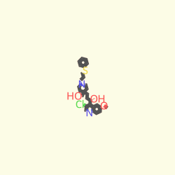 COc1ccc2ncc(Cl)c([C@@H](O)CCC3(CO)CCN(CCCSc4ccccc4)CC3)c2c1